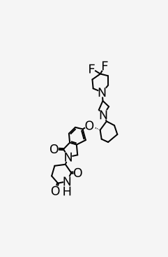 O=C1CCC(N2Cc3cc(O[C@H]4CCCC[C@@H]4N4CC(N5CCC(F)(F)CC5)C4)ccc3C2=O)C(=O)N1